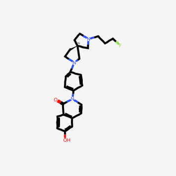 O=c1c2ccc(O)cc2ccn1-c1ccc(N2CC[C@]3(CCN(CCCF)C3)C2)cc1